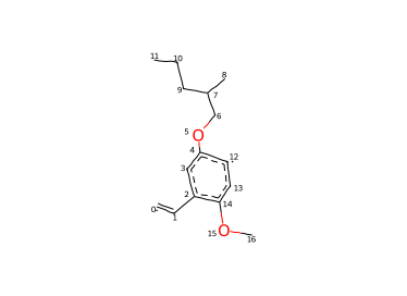 [CH]=Cc1cc(OCC(C)CCC)[c]cc1OC